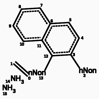 C=C.CCCCCCCCCc1ccc2ccccc2c1CCCCCCCCC.N.N